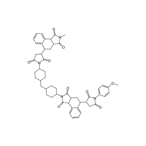 COc1ccc(N2C(=O)CC(C3CC4C(=O)N(C5CCC(CC6CCC(N7C(=O)CC(C8CC9C(=O)N(C)C(=O)C9c9ccccc98)C7=O)CC6)CC5)C(=O)C4c4ccccc43)C2=O)cc1